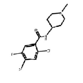 CN1CCC(NC(=O)c2cc(F)c(Br)cc2Cl)CC1